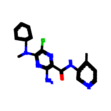 Cc1ccncc1NC(=O)c1nc(Cl)c(N(C)c2ccccc2)nc1N